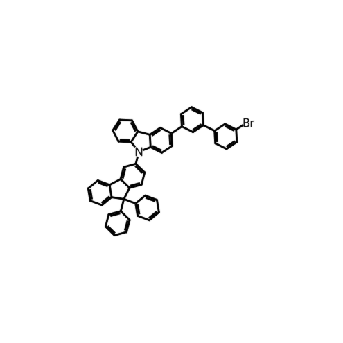 Brc1cccc(-c2cccc(-c3ccc4c(c3)c3ccccc3n4-c3ccc4c(c3)-c3ccccc3C4(c3ccccc3)c3ccccc3)c2)c1